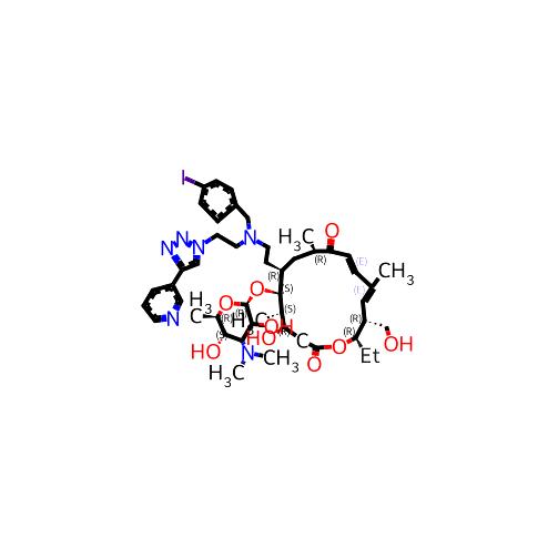 CC[C@H]1OC(=O)C[C@@H](O)[C@H](C)[C@@H](O[C@@H]2O[C@H](C)[C@@H](O)C(N(C)C)C2O)[C@@H](CCN(CCn2cc(-c3cccnc3)nn2)Cc2ccc(I)cc2)C[C@@H](C)C(=O)/C=C/C(C)=C/[C@@H]1CO